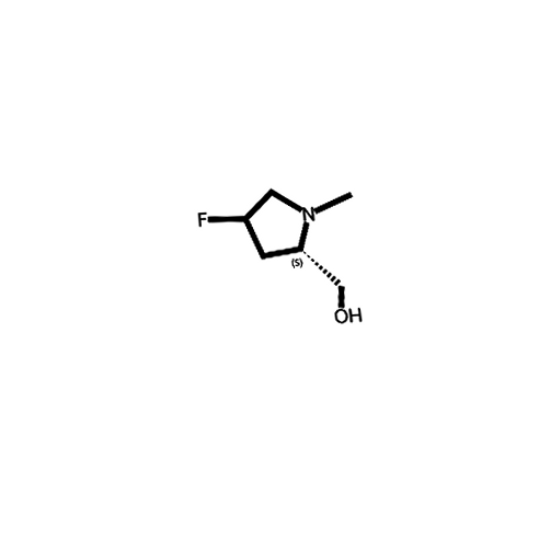 CN1CC(F)C[C@H]1CO